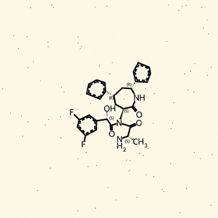 C[C@H](N)C(=O)N(C(=O)[C@@H](O)c1cc(F)cc(F)c1)[C@H]1C[C@H](c2ccccc2)C[C@H](c2ccccc2)NC1=O